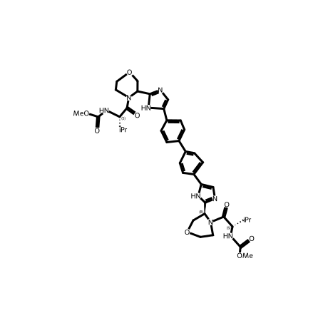 COC(=O)N[C@H](C(=O)N1CCOCC1c1ncc(-c2ccc(-c3ccc(-c4cnc([C@@H]5COCCN5C(=O)[C@@H](NC(=O)OC)C(C)C)[nH]4)cc3)cc2)[nH]1)C(C)C